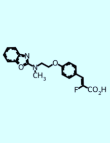 CN(CCOc1ccc(C=C(F)C(=O)O)cc1)c1nc2ccccc2o1